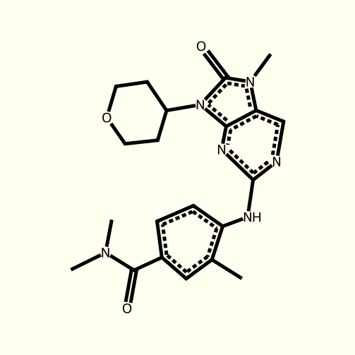 Cc1cc(C(=O)N(C)C)ccc1Nc1ncc2c(n1)n(C1CCOCC1)c(=O)n2C